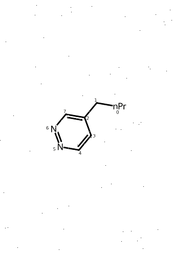 CCCCc1[c]cnnc1